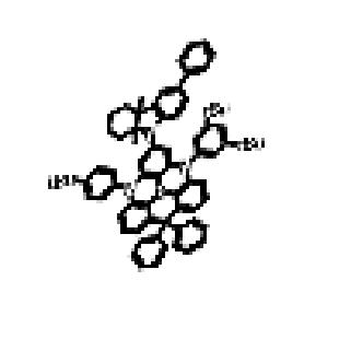 CC(C)(C)c1ccc(N2c3cc(N4c5ccc(-c6ccccc6)cc5C5(C)CCCCC45C)cc4c3B3c5c2cccc5C(c2ccccc2)(c2ccccc2)c2cccc(c23)N4c2cc(C(C)(C)C)cc(C(C)(C)C)c2)cc1